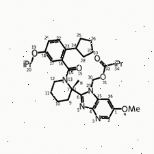 COc1cnc2nc([C@]3(C)CCCCN3C(=O)c3cc(OC(C)C)ccc3C3CCCC3)n(COC(=O)C(C)C)c2c1